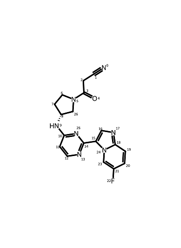 N#CCC(=O)N1CC[C@@H](Nc2ccnc(-c3cnc4ccc(F)cn34)n2)C1